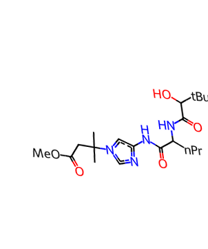 CCCC(NC(=O)C(O)C(C)(C)C)C(=O)Nc1cn(C(C)(C)CC(=O)OC)cn1